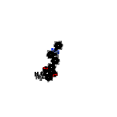 CC1(C)c2ccccc2C2(c3ccccc3-c3cc(-c4cccc(-c5cccc6nc(-c7ccccc7)ncc56)c4)ccc32)c2ccccc21